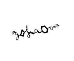 CC(C)OC[C@H]1CC[C@@H](COCCC(=O)N[C@H]2C[C@H](C(=O)C(C)C)C2)CC1